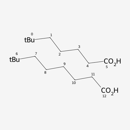 CC(C)(C)CCCCC(=O)O.CC(C)(C)CCCCCC(=O)O